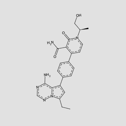 CCc1cc(-c2ccc(-c3ccn([C@H](C)CO)c(=O)c3C(N)=O)cc2)c2c(N)ncnn12